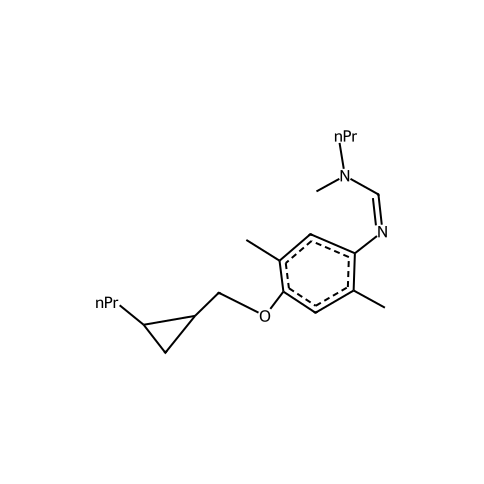 CCCC1CC1COc1cc(C)c(/N=C\N(C)CCC)cc1C